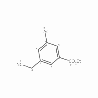 CCOC(=O)c1cc(CC#N)cc(C(C)=O)c1